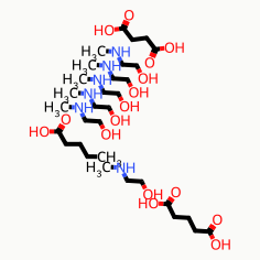 CCCCC(=O)O.CNCCO.CNCCO.CNCCO.CNCCO.CNCCO.CNCCO.O=C(O)CCC(=O)O.O=C(O)CCCC(=O)O